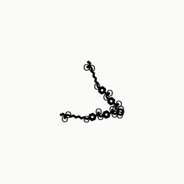 C=CC(=O)OCCCCCCOc1ccc(C(=O)Oc2ccc(C(=O)OC3OCCOC3OC(=O)c3ccc(OC(=O)c4ccc(OCCCCCCOC(=O)C=C)cc4)cc3)cc2)cc1